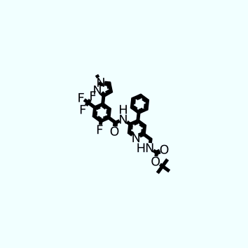 Cn1ccc(-c2cc(C(=O)Nc3cnc(CNC(=O)OC(C)(C)C)cc3-c3ccccc3)c(F)cc2C(F)(F)F)n1